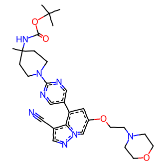 CC1(NC(=O)OC(C)(C)C)CCN(c2ncc(-c3cc(OCCN4CCOCC4)cn4ncc(C#N)c34)cn2)CC1